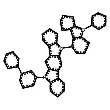 c1ccc(-c2cccc(-n3c4ccccc4c4cc5c(cc43)c3ccccc3n5-c3cccc4c3c3ccccc3n4-c3ccccc3)c2)cc1